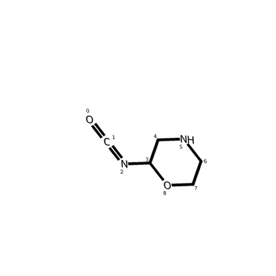 O=C=NC1CNCCO1